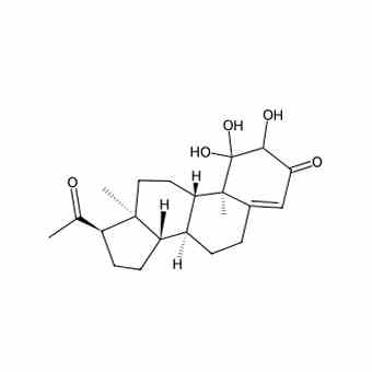 CC(=O)[C@@H]1CC[C@H]2[C@@H]3CCC4=CC(=O)C(O)C(O)(O)[C@]4(C)[C@H]3CC[C@]12C